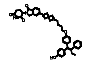 CCC(=C(c1ccc(O)cc1)c1ccc(OCCCCN2CC3(C2)CN(c2ccc4c(c2)CN(C2CCC(=O)NC2=O)C4=O)C3)cc1)c1ccccc1